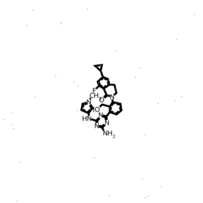 Cn1ccc(Nc2nc(N)nc(-c3cccc(N4CCc5cc(C6CC6)cc(F)c5C4=O)c3CO)n2)c1